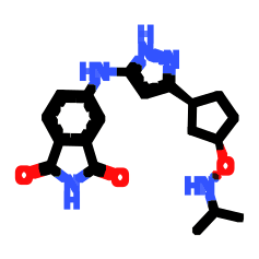 CC(C)NO[C@@H]1CC[C@H](c2cc(Nc3ccc4c(c3)C(=O)NC4=O)[nH]n2)C1